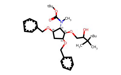 CCCCC(C)(C)C(O)CO[C@@H]1[C@@H](N(C)C(=O)OC(C)(C)C)[C@H](OCc2ccccc2)C[C@@H]1OCc1ccccc1